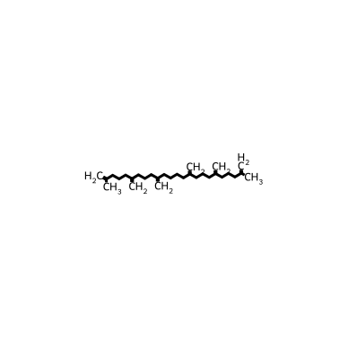 C=C(C)CCCC(=C)CCCC(=C)CCCCC(=C)CCCC(=C)CCCC(=C)C